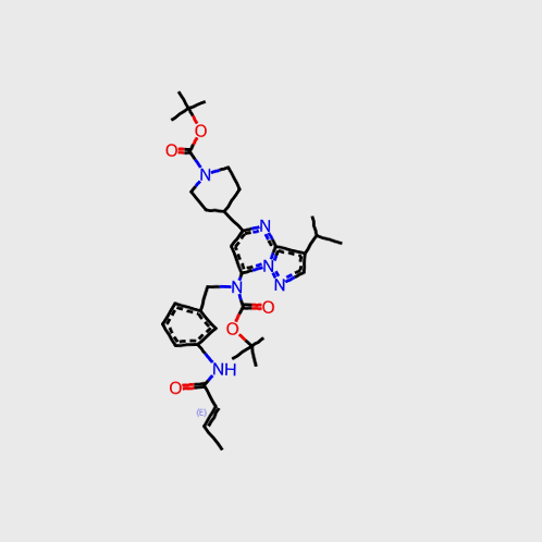 C/C=C/C(=O)Nc1cccc(CN(C(=O)OC(C)(C)C)c2cc(C3CCN(C(=O)OC(C)(C)C)CC3)nc3c(C(C)C)cnn23)c1